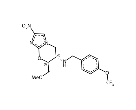 COC[C@H]1Oc2nc([N+](=O)[O-])cn2C[C@@H]1NCc1ccc(OC(F)(F)F)cc1